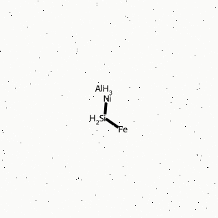 [AlH3].[Fe][SiH2][Ni]